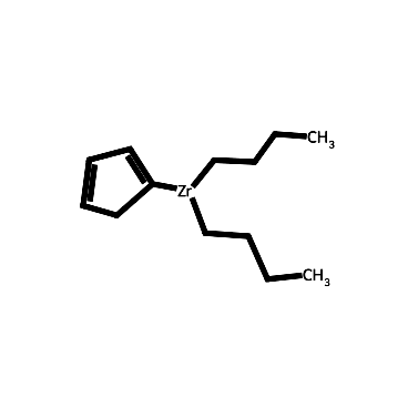 CCC[CH2][Zr]([CH2]CCC)[C]1=CC=CC1